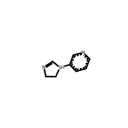 C1=NCC[SH]1c1cccnc1